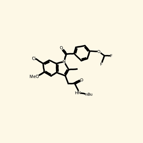 CCCCNC(=O)Cc1c(C)n(C(=O)c2ccc(OC(F)F)cc2)c2cc(Cl)c(OC)cc12